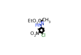 CCOC(=O)/C(C)=N\Nc1ccc(Cl)c([N+](=O)[O-])c1